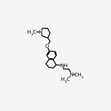 CN(C)CCNC1CCCc2cc(OCC3CCCN(C)C3)ccc21